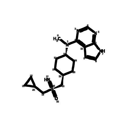 CN(c1ncnc2[nH]ccc12)[C@H]1CC[C@H](C[S@@](=N)(=O)CC2CC2)CC1